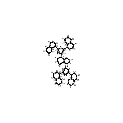 c1ccc2c(-c3cc(-c4cccc5c(-c6cc(-c7cccc8ccccc78)nc(-c7cccc8ccccc78)n6)cccc45)nc(-c4cccc5ccccc45)n3)cccc2c1